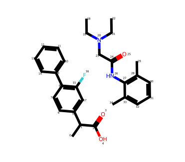 CC(C(=O)O)c1ccc(-c2ccccc2)c(F)c1.CCN(CC)CC(=O)Nc1c(C)cccc1C